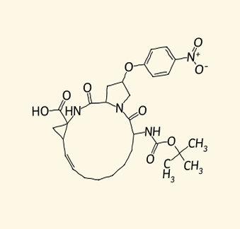 CC(C)(C)OC(=O)NC1CCCCCC=CC2CC2(C(=O)O)NC(=O)C2CC(Oc3ccc([N+](=O)[O-])cc3)CN2C1=O